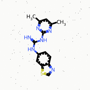 Cc1cc(C)nc(NC(=N)Nc2ccc3ncsc3c2)n1